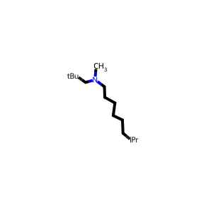 CC(C)CCCCCCN(C)CC(C)(C)C